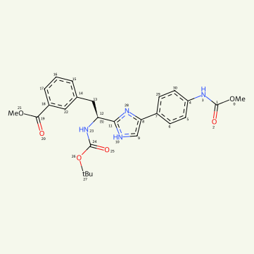 COC(=O)Nc1ccc(-c2c[nH]c([C@H](Cc3cccc(C(=O)OC)c3)NC(=O)OC(C)(C)C)n2)cc1